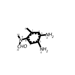 Cc1cc(N)c(N)cc1N(C)C=O